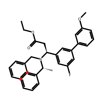 CCOC(=O)C[C@@H](c1cc(F)cc(-c2cccc(OC)c2)c1)N(Cc1ccccc1)[C@H](C)c1ccccc1